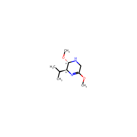 COC1=N[C@@H](C(C)C)[C@H](OC)NC1